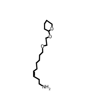 NCC/C=C\CCCCCOCCOC1CCCCO1